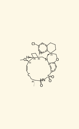 CO[C@@H]1C=CCC[C@@H](C)C(=O)NS(=O)(=O)c2ccc3c(c2)N(C[C@@H]2CC[C@H]21)C[C@@]1(CCCc2cc(Cl)ccc21)CO3